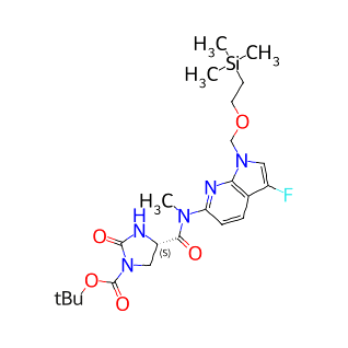 CN(C(=O)[C@@H]1CN(C(=O)OC(C)(C)C)C(=O)N1)c1ccc2c(F)cn(COCC[Si](C)(C)C)c2n1